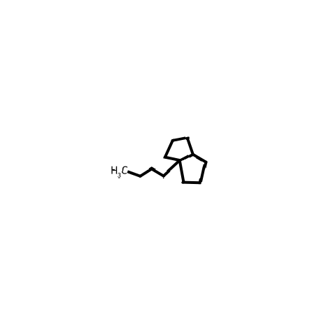 CCC[CH]C12CCCC1CCC2